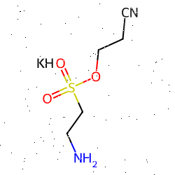 N#CCCOS(=O)(=O)CCN.[KH]